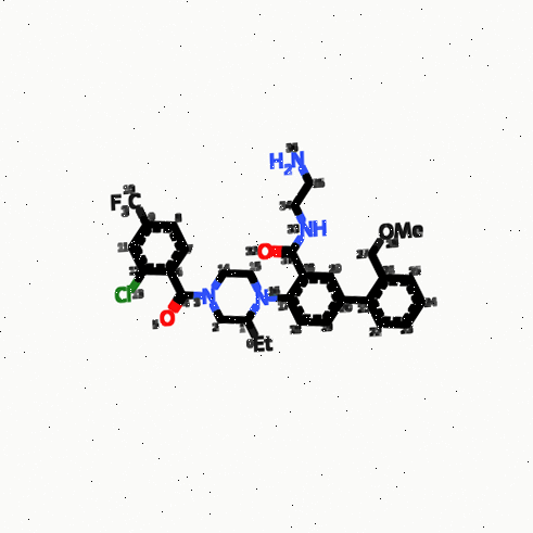 CCC1CN(C(=O)c2ccc(C(F)(F)F)cc2Cl)CCN1c1ccc(-c2ccccc2COC)cc1C(=O)NCCN